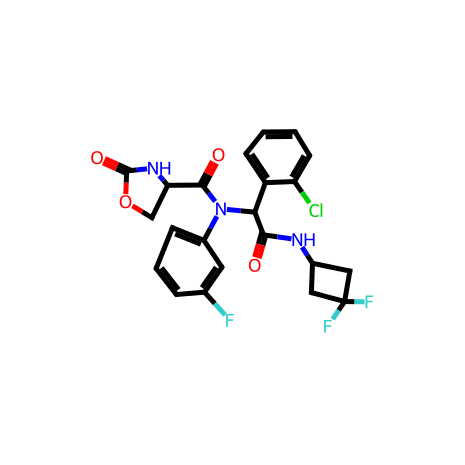 O=C1NC(C(=O)N(c2cccc(F)c2)C(C(=O)NC2CC(F)(F)C2)c2ccccc2Cl)CO1